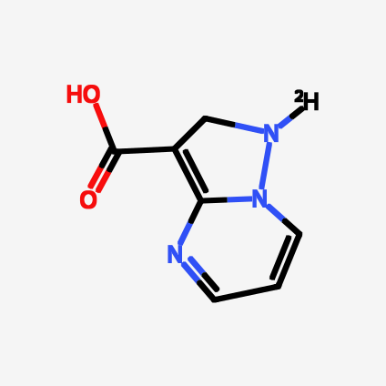 [2H]N1CC(C(=O)O)=C2N=CC=CN21